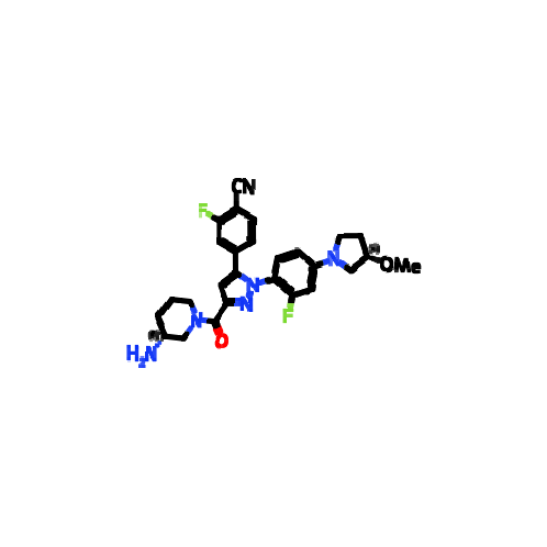 CO[C@@H]1CCN(c2ccc(-n3nc(C(=O)N4CCC[C@@H](N)C4)cc3-c3ccc(C#N)c(F)c3)c(F)c2)C1